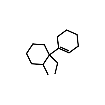 CCC1(C2=[C]CCCC2)CCCCC1C